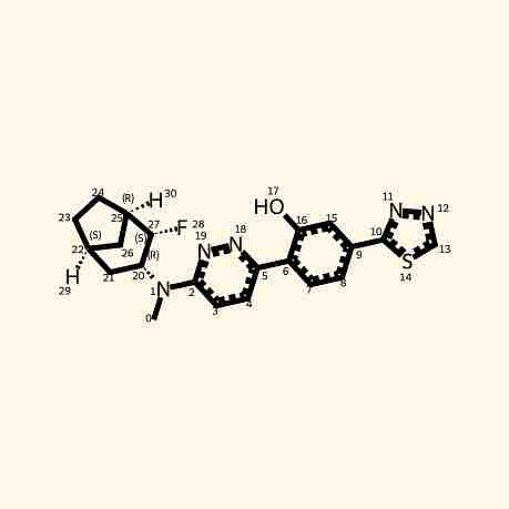 CN(c1ccc(-c2ccc(-c3nncs3)cc2O)nn1)[C@@H]1C[C@H]2CC[C@H](C2)[C@@H]1F